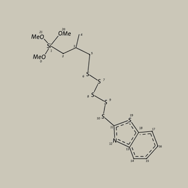 CO[Si](CC(C)CSSSSSc1nc2ccccc2s1)(OC)OC